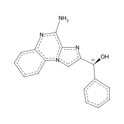 Nc1nc2ccccc2n2cc([C@@H](O)c3ccccc3)nc12